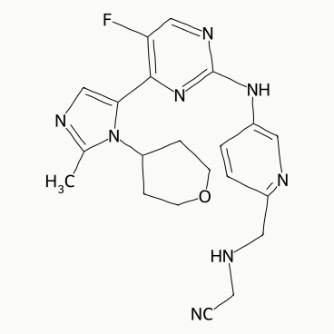 Cc1ncc(-c2nc(Nc3ccc(CNCC#N)nc3)ncc2F)n1C1CCOCC1